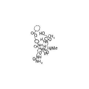 CNC(CCNC(=O)C(C)(C)CCO)C(=O)NC(C(=O)NC(CCCNC(N)=O)C(=O)Nc1ccc(COC(=O)C2CCCCCCC2)cc1)C(C)C